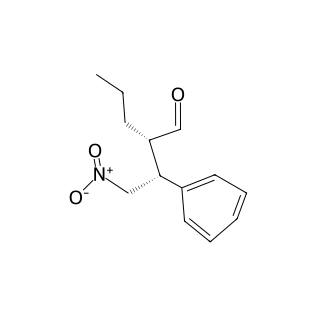 CCC[C@H](C=O)[C@@H](C[N+](=O)[O-])c1ccccc1